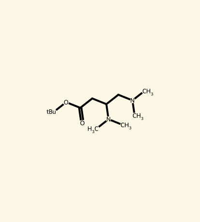 CN(C)CC(CC(=O)OC(C)(C)C)N(C)C